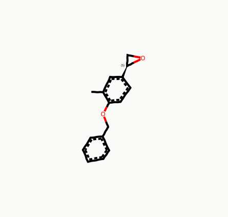 Cc1cc([C@H]2CO2)ccc1OCc1ccccc1